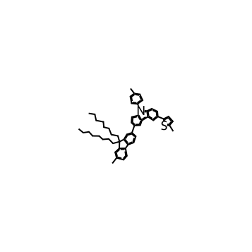 CCCCCCCCC1(CCCCCCCC)c2cc(C)ccc2-c2ccc(-c3ccc4c(c3)c3cc(-c5ccc(C)s5)ccc3n4-c3ccc(C)cc3)cc21